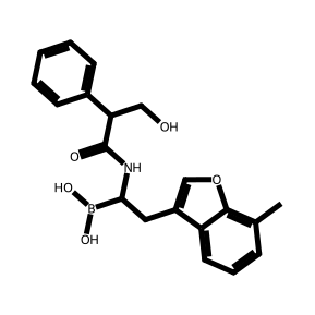 Cc1cccc2c(CC(NC(=O)C(CO)c3ccccc3)B(O)O)coc12